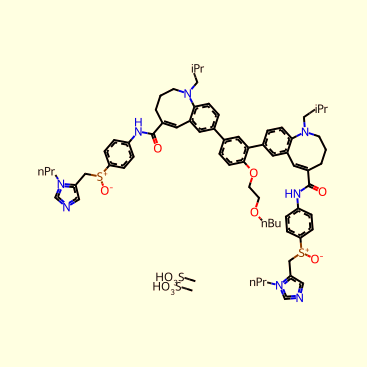 CCCCOCCOc1ccc(-c2ccc3c(c2)/C=C(/C(=O)Nc2ccc([S+]([O-])Cc4cncn4CCC)cc2)CCCN3CC(C)C)cc1-c1ccc2c(c1)/C=C(/C(=O)Nc1ccc([S+]([O-])Cc3cncn3CCC)cc1)CCCN2CC(C)C.CS(=O)(=O)O.CS(=O)(=O)O